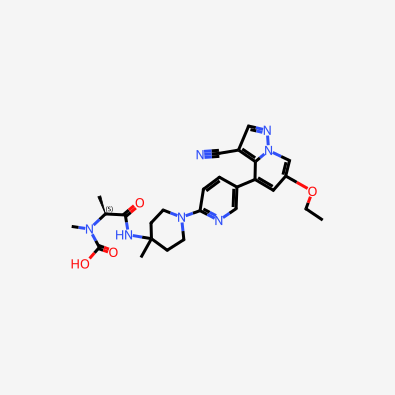 CCOc1cc(-c2ccc(N3CCC(C)(NC(=O)[C@H](C)N(C)C(=O)O)CC3)nc2)c2c(C#N)cnn2c1